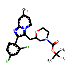 Cc1ccn2c(CC3CN(C(=O)OC(C)(C)C)CCO3)c(-c3ccc(Br)cc3Cl)nc2c1